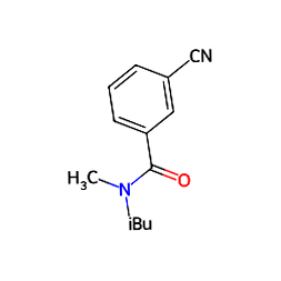 CCC(C)N(C)C(=O)c1cccc(C#N)c1